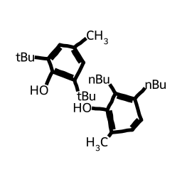 CCCCc1ccc(C)c(O)c1CCCC.Cc1cc(C(C)(C)C)c(O)c(C(C)(C)C)c1